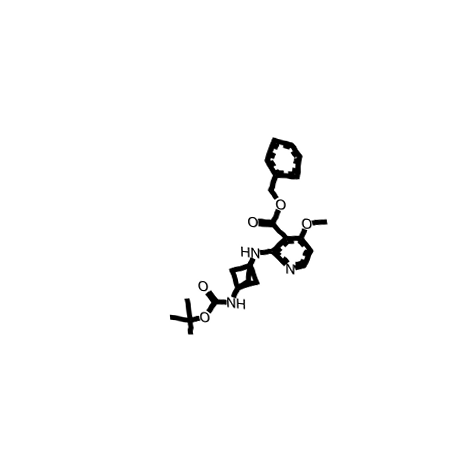 COc1ccnc(NC23CC(NC(=O)OC(C)(C)C)(C2)C3)c1C(=O)OCc1ccccc1